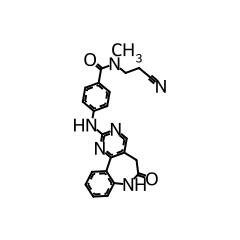 CN(CCC#N)C(=O)c1ccc(Nc2ncc3c(n2)-c2ccccc2NC(=O)C3)cc1